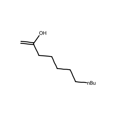 C=C(O)CCCCCCCCC